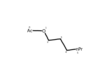 [CH2]C(=O)OCCCCCC